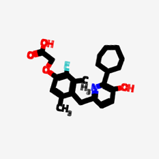 Cc1cc(OCC(=O)O)c(F)c(C)c1Cc1ccc(O)c(C2CCCCCC2)n1